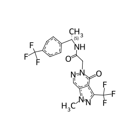 C[C@H](NC(=O)Cn1ncc2c(c(C(F)(F)F)nn2C)c1=O)c1ccc(C(F)(F)F)cc1